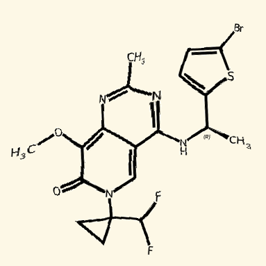 COc1c(=O)n(C2(C(F)F)CC2)cc2c(N[C@H](C)c3ccc(Br)s3)nc(C)nc12